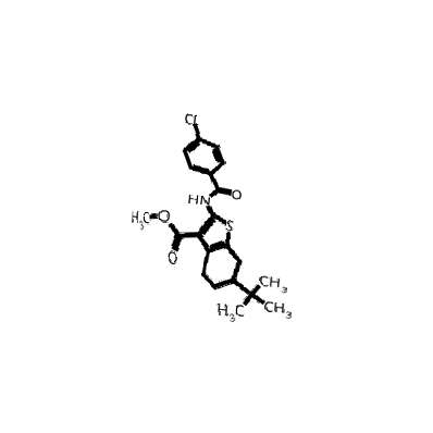 COC(=O)c1c(NC(=O)c2ccc(Cl)cc2)sc2c1CCC(C(C)(C)C)C2